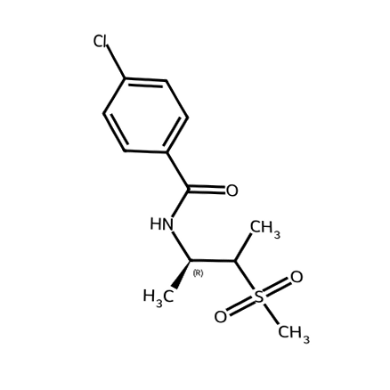 CC([C@@H](C)NC(=O)c1ccc(Cl)cc1)S(C)(=O)=O